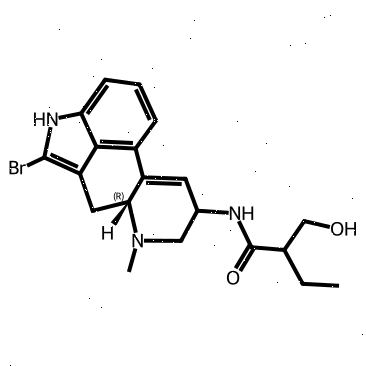 CCC(CO)C(=O)NC1C=C2c3cccc4[nH]c(Br)c(c34)C[C@H]2N(C)C1